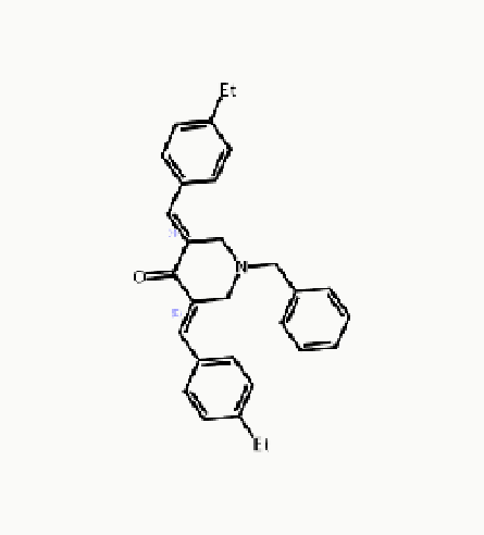 CCc1ccc(/C=C2\CN(Cc3ccccc3)C/C(=C\c3ccc(CC)cc3)C2=O)cc1